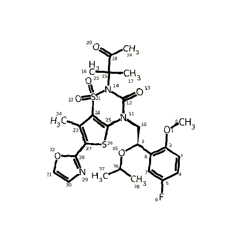 COc1ccc(F)cc1[C@H](CN1C(=O)N(C(C)(C)C(C)=O)S(=O)(=O)c2c1sc(-c1ncco1)c2C)OC(C)C